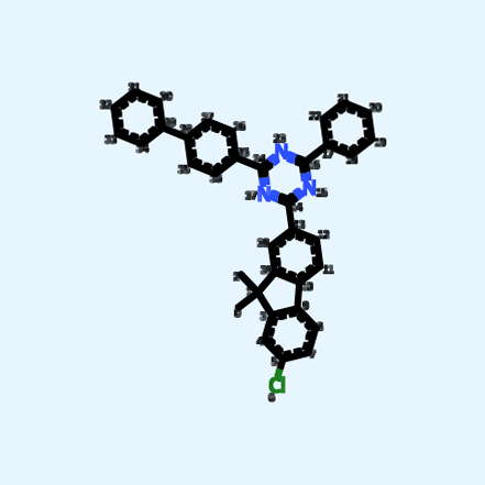 CC1(C)c2cc(Cl)ccc2-c2ccc(-c3nc(-c4ccccc4)nc(-c4ccc(-c5ccccc5)cc4)n3)cc21